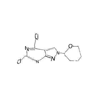 Clc1nc(Cl)c2cn(C3CCCCO3)nc2n1